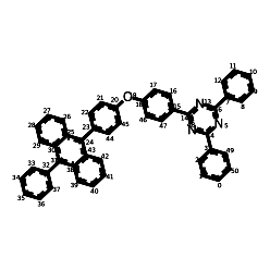 c1ccc(-c2nc(-c3ccccc3)nc(-c3ccc(Oc4ccc(-c5c6ccccc6c(-c6ccccc6)c6ccccc56)cc4)cc3)n2)cc1